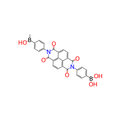 CB(O)c1ccc(N2C(=O)c3ccc4c5c(ccc(c35)C2=O)C(=O)N(c2ccc(B(O)O)cc2)C4=O)cc1